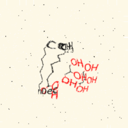 CCCCCCCC(=O)O.CCCCCCCCCCCCCCCCCC(=O)O.OCC(O)CO.OCC(O)CO